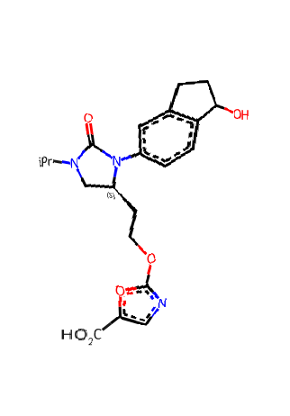 CC(C)N1C[C@H](CCOc2ncc(C(=O)O)o2)N(c2ccc3c(c2)CCC3O)C1=O